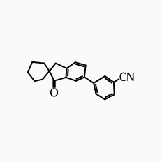 N#Cc1cccc(-c2ccc3c(c2)C(=O)C2(CCCCC2)C3)c1